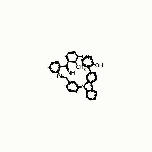 CC1C(C(=N)c2ccccc2NCc2cccc(-n3c4ccccc4c4ccc(-c5ccccc5O)cc43)c2)=CC=CC1C#N